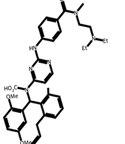 C=CCc1cccc(C)c1C(c1cc(OC)ccc1OC)N(C(=O)O)c1ccnc(Nc2ccc(C(=O)N(C)CCN(CC)CC)cc2)n1